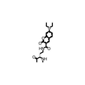 CCN(CC)c1ccc2cc(C(=O)NCC[C@H](NC)C(C)=O)c(=O)oc2c1